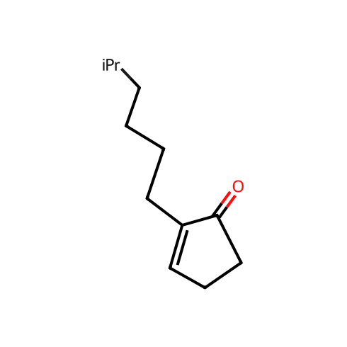 CC(C)CCCCC1=CCCC1=O